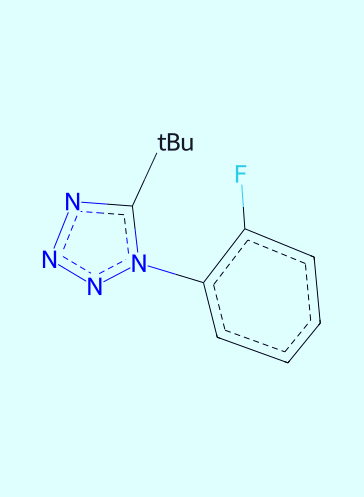 CC(C)(C)c1nnnn1-c1ccccc1F